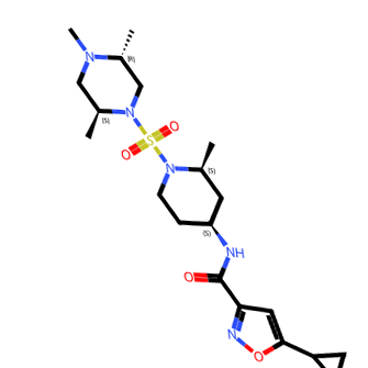 C[C@@H]1CN(S(=O)(=O)N2CC[C@H](NC(=O)c3cc(C4CC4)on3)C[C@@H]2C)[C@@H](C)CN1C